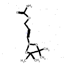 CC1(C)OB(/C=C/COC(N)=O)OC1(C)C